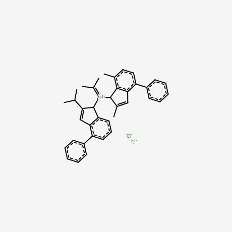 CC1=Cc2c(-c3ccccc3)ccc(C)c2[CH]1[Zr+2](=[C](C)C)[CH]1C(C(C)C)=Cc2c(-c3ccccc3)cccc21.[Cl-].[Cl-]